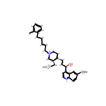 COc1ccc2nccc([C@H](O)CC[C@@H]3CCN(CCCCCc4ccccc4C)C[C@@H]3CC(=O)O)c2c1